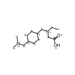 CCN(CC(=O)O)CC1CCC(CN(C)C)CC1